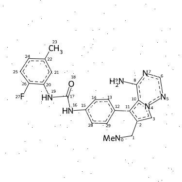 CNCc1cn2ncnc(N)c2c1-c1ccc(NC(=O)Nc2cc(C)ccc2F)cc1